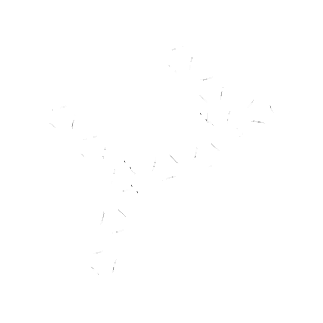 c1ccc(-c2ccc(-c3cc(-c4ccc(-c5ccccc5)cc4)nc(-c4ccc(-c5cccc(-c6nc7cc(-c8ccccc8)ccc7c7c6sc6ccccc67)c5)cc4)n3)cc2)cc1